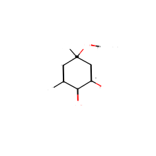 CC1CC(C)(OC=O)CC(O)C1O